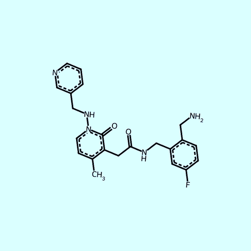 Cc1ccn(NCc2cccnc2)c(=O)c1CC(=O)NCc1cc(F)ccc1CN